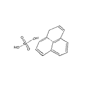 C1=Cc2cccc3cccc(c23)C1.O=[Se](=O)(O)O